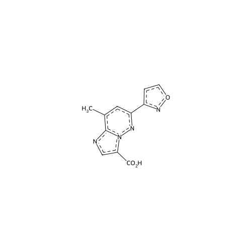 Cc1cc(-c2ccon2)nn2c(C(=O)O)cnc12